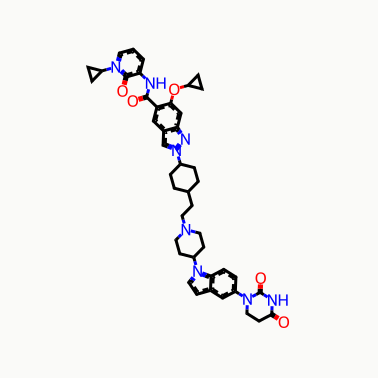 O=C1CCN(c2ccc3c(ccn3C3CCN(CCC4CCC(n5cc6cc(C(=O)Nc7cccn(C8CC8)c7=O)c(OC7CC7)cc6n5)CC4)CC3)c2)C(=O)N1